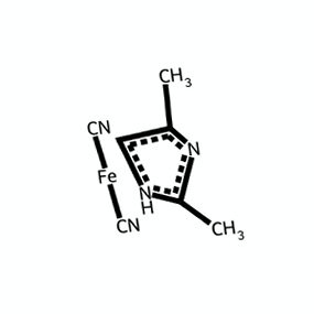 Cc1c[nH]c(C)n1.N#[C][Fe][C]#N